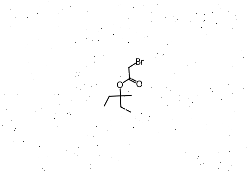 CCC(C)(CC)OC(=O)CBr